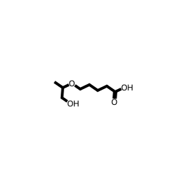 CC(CO)OCCCCC(=O)O